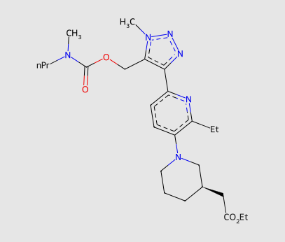 CCCN(C)C(=O)OCc1c(-c2ccc(N3CCC[C@H](CC(=O)OCC)C3)c(CC)n2)nnn1C